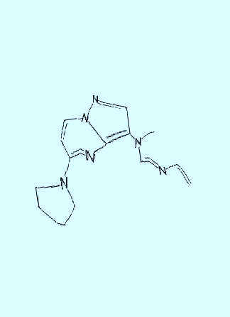 C=C/N=C\N(C)c1cnn2ccc(N3CCCC3)nc12